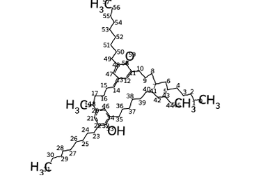 CCCCCCCCCCCC1=CC(=CCCCC(C)c2cc(CCCCCCCCC)c(O)c(CCCCCCCCCCC)c2)C=C(CCCCCCCCC)C1=O